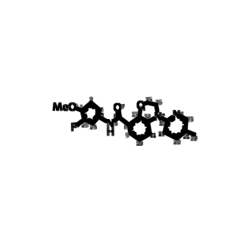 COc1ccc(NC(=O)c2cccc3c2OCCN3c2ccc(C)cn2)cc1F